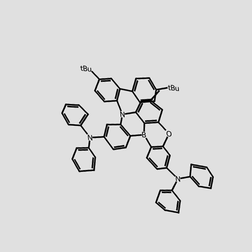 Cc1cc2c3c(c1)N(c1ccc(C(C)(C)C)cc1-c1ccc(C(C)(C)C)cc1)c1cc(N(c4ccccc4)c4ccccc4)ccc1B3c1ccc(N(c3ccccc3)c3ccccc3)cc1O2